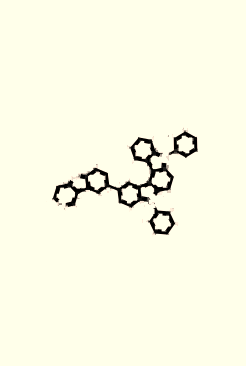 c1ccc(-n2c3ccccc3c3c4c5cc(-c6ccc7oc8ccncc8c7c6)ccc5n(-c5ccccc5)c4ccc32)cc1